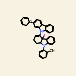 N#Cc1ccccc1N1c2ccccc2C2(I)C(n3c4ccccc4c4ccc([C@@H]5C=CC=CC5)cc43)=CCCC12